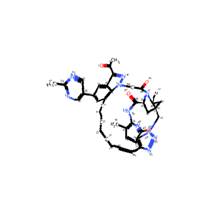 CC(=O)c1nn2c3c(cc(-c4cnc(C)nc4)cc13)CCCCCCC=Cc1cn(nn1)C[C@@]13C[C@@H](C(=O)Nc4nc(Br)ccc4C)N(C(=O)C2)[C@@H]1C3